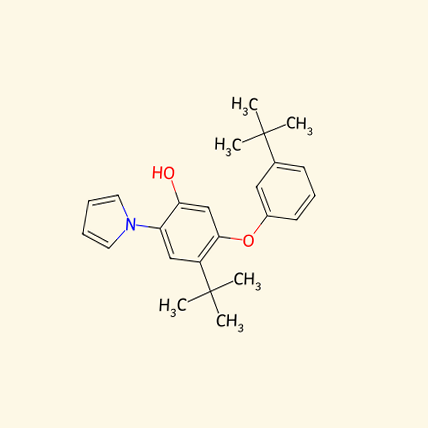 CC(C)(C)c1cccc(Oc2cc(O)c(-n3cccc3)cc2C(C)(C)C)c1